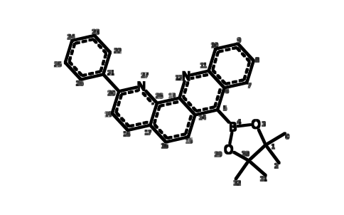 CC1(C)OB(c2c3ccccc3nc3c2ccc2ccc(-c4ccccc4)nc23)OC1(C)C